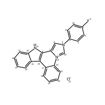 Fc1ccc(-n2cc3c4[nH]c5ccccc5c4c4ccccc4[n+]3c2)cc1.[Cl-]